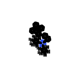 [2H]c1c([2H])c([2H])c(-c2nc(-c3c([2H])c([2H])c([2H])c([2H])c3[2H])nc(-c3cccc4ccc(-c5ccc6c(c5)C(c5ccccc5)(c5ccccc5)c5ccccc5-6)cc34)n2)c([2H])c1[2H]